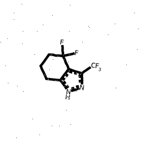 FC(F)(F)c1n[nH]c2c1C(F)(F)CCC2